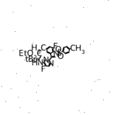 CCOC(=O)CC(Nc1nc(-c2cn(S(=O)(=O)c3ccc(C)cc3)c3c(F)cc(C)cc23)ncc1F)C(C)(C)C